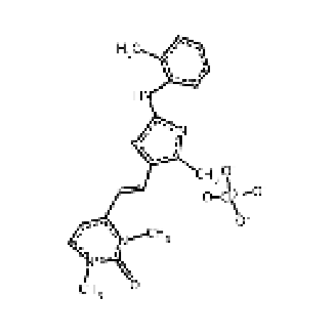 Cc1ccccc1Nc1nc(C)c(C=Cc2cc[n+](C)c(=O)n2C)s1.[O-][Cl+3]([O-])([O-])[O-]